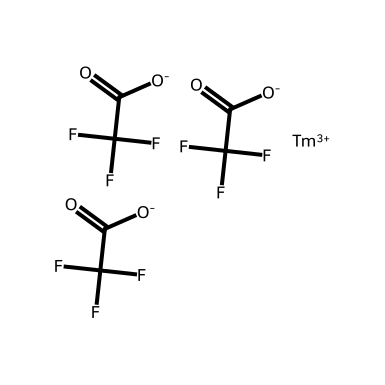 O=C([O-])C(F)(F)F.O=C([O-])C(F)(F)F.O=C([O-])C(F)(F)F.[Tm+3]